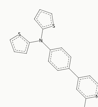 Cc1cc(-c2ccc(N(c3cccs3)c3cccs3)cc2)ccn1